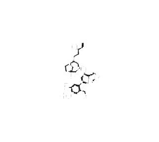 C=CC(=O)CC[C@H]1C[C@H](Oc2cc(-c3cc(F)c(O)cc3CC)cn3cncc23)C[C@H]2CCC1C2